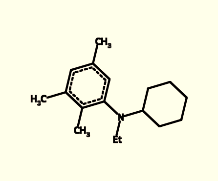 CCN(c1cc(C)cc(C)c1C)C1CCCCC1